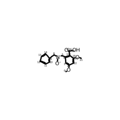 COc1cc(/C=[N+](\[O-])Cc2ccccc2)c(C(=O)O)c(OC)c1